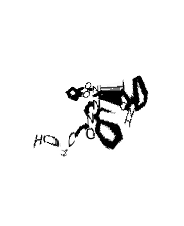 CC(Cc1c[nH]c2ccccc12)(NC(=O)OC1CC2CCC1(C)C2(C)C)C(=O)N1CCN(C(=O)CCC(=O)O)C(c2ccccc2)C1